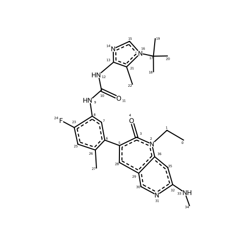 CCn1c(=O)c(-c2cc(NC(=O)Nc3ncn(C(C)(C)C)c3C)c(F)cc2C)cc2cnc(NC)cc21